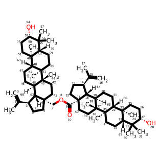 C=C(C)[C@@H]1CC[C@]2(COC(=O)[C@]34CC[C@@H](C(=C)C)[C@@H]3[C@H]3CC[C@@H]5[C@@]6(C)CC[C@H](O)C(C)(C)[C@@H]6CC[C@@]5(C)[C@]3(C)CC4)CC[C@]3(C)[C@H](CC[C@@H]4[C@@]5(C)CC[C@H](O)C(C)(C)[C@@H]5CC[C@]43C)[C@@H]12